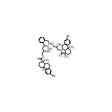 CC(C)c1ccc2c(c1)CCC1C(C)(C(=O)OCC(O)COOCc3ccccc3C(CC(O)COC(=O)C3(C)CCCC4(C)c5ccc(C(C)C)cc5CCC34)OO)CCCC21C